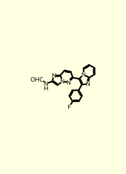 O=CNc1cn2nc(-c3c(-c4ccc(F)cc4)nc4ccccn34)ccc2n1